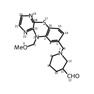 COCN1c2cc(CN3CCCC(C=O)C3)ccc2Sc2nccnc21